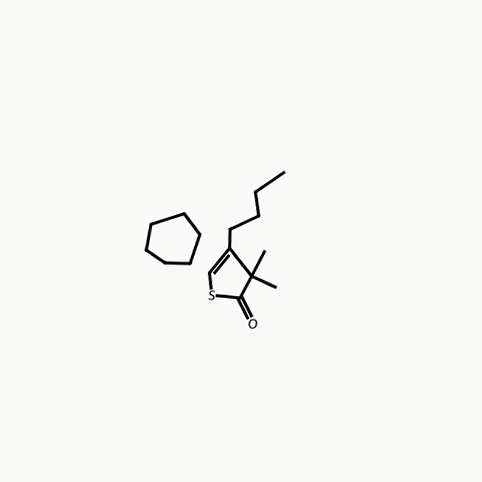 C1CCCCC1.CCCCC1=CSC(=O)C1(C)C